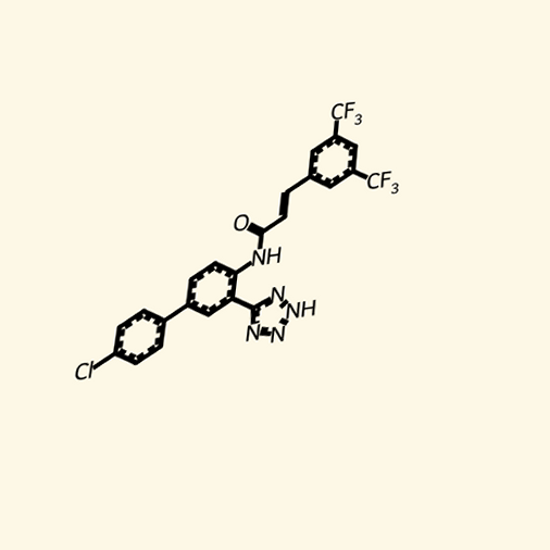 O=C(/C=C/c1cc(C(F)(F)F)cc(C(F)(F)F)c1)Nc1ccc(-c2ccc(Cl)cc2)cc1-c1nn[nH]n1